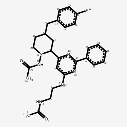 CC(=O)NCCNc1cc(C2CC(Cc3ccc(F)cc3)CCN2NC(C)=O)nc(-c2ccccc2)n1